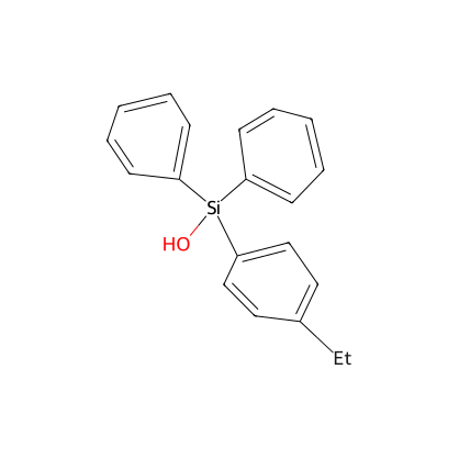 CCc1ccc([Si](O)(c2ccccc2)c2ccccc2)cc1